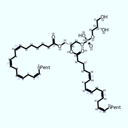 CCCCC/C=C\C/C=C\C/C=C\C/C=C\CCCCCC(=O)OC[C@H](COP(=O)(O)OC[C@@H](O)CO)OC(=O)CCC/C=C\C/C=C\C/C=C\C/C=C\CCCCC